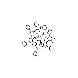 N#Cc1c(-c2ccc3c4ccccc4n(-c4ccccc4)c3c2)c(-n2c3ccc(-c4ccccc4)cc3c3cc(-c4ccccc4)ccc32)c(-c2ccccc2)c(-n2c3ccc(-c4ccccc4)cc3c3cc(-c4ccccc4)ccc32)c1-c1ccc2c3ccccc3n(-c3ccccc3)c2c1